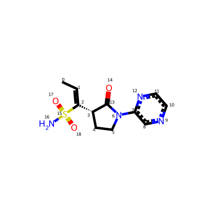 CC=C([C@H]1CCN(c2cnccn2)C1=O)S(N)(=O)=O